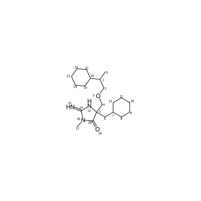 CC(COCC1(CC2CCCCC2)NC(=N)N(C)C1=O)C1CCCCC1